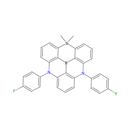 C[Si]1(C)c2cccc3c2B2c4c(cccc4N(c4ccc(F)cc4)c4cccc1c42)N3c1ccc(F)cc1